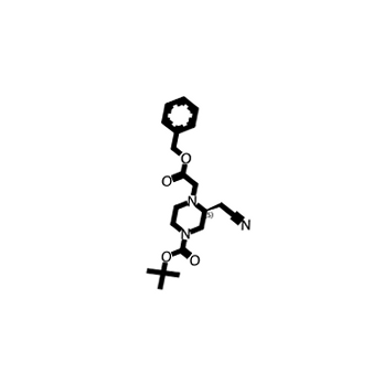 CC(C)(C)OC(=O)N1CCN(CC(=O)OCc2ccccc2)[C@@H](CC#N)C1